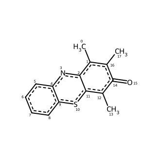 Cc1c2nc3ccccc3sc-2c(C)c(=O)c1C